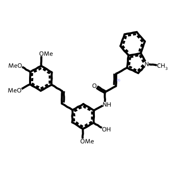 COc1cc(C=Cc2cc(OC)c(OC)c(OC)c2)cc(NC(=O)/C=C/c2cn(C)c3ccccc23)c1O